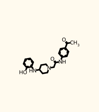 CC(=O)c1ccc(NC(=O)CN2CCC(Nc3ccccc3O)CC2)cc1